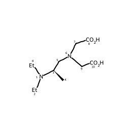 CCN(CC)[C@H](C)CN(CC(=O)O)CC(=O)O